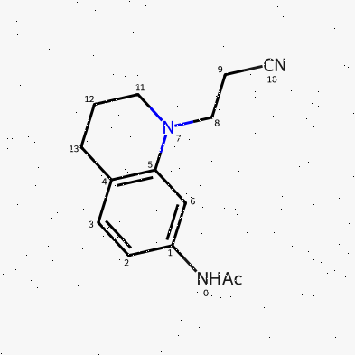 CC(=O)Nc1ccc2c(c1)N(CCC#N)CCC2